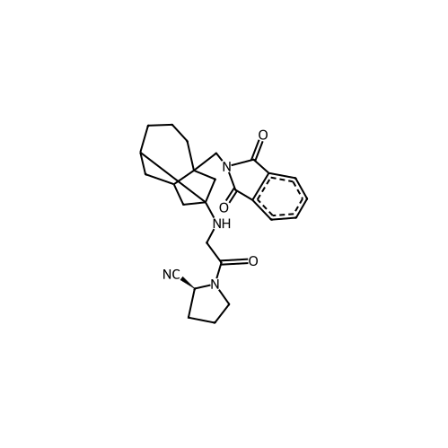 N#C[C@@H]1CCCN1C(=O)CNC12CC3CC1CCCC3(CN1C(=O)c3ccccc3C1=O)C2